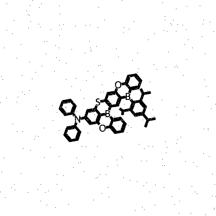 CC(C)c1cc(C(C)C)c(B2c3ccccc3Oc3cc4c(cc32)B2c3ccccc3Oc3cc(N(c5ccccc5)c5ccccc5)cc(c32)S4)c(C(C)C)c1